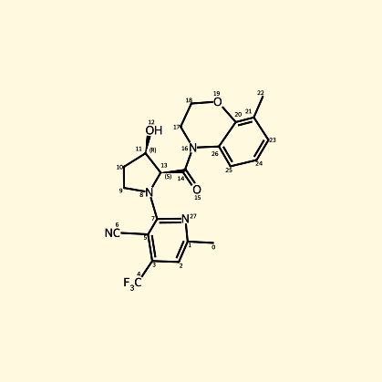 Cc1cc(C(F)(F)F)c(C#N)c(N2CC[C@@H](O)[C@H]2C(=O)N2CCOc3c(C)cccc32)n1